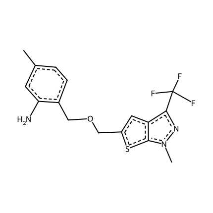 Cc1ccc(COCc2cc3c(C(F)(F)F)nn(C)c3s2)c(N)c1